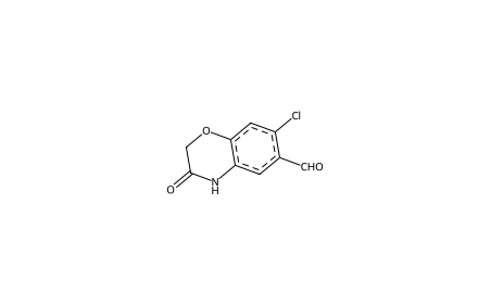 O=Cc1cc2c(cc1Cl)OCC(=O)N2